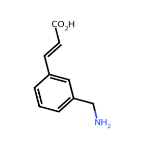 NCc1cccc(C=CC(=O)O)c1